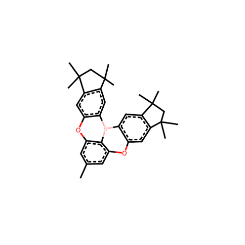 Cc1cc2c3c(c1)Oc1cc4c(cc1B3c1cc3c(cc1O2)C(C)(C)CC3(C)C)C(C)(C)CC4(C)C